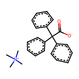 C[N+](C)(C)C.O=C([O-])C(c1ccccc1)(c1ccccc1)c1ccccc1